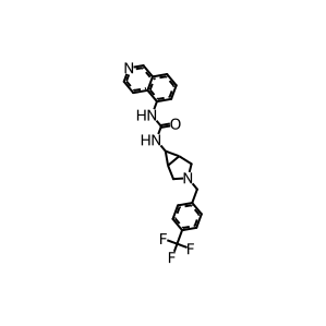 O=C(Nc1cccc2cnccc12)NC1C2CN(Cc3ccc(C(F)(F)F)cc3)CC21